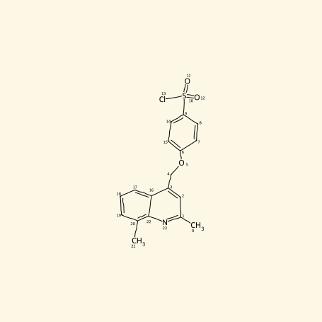 Cc1cc(COc2ccc(S(=O)(=O)Cl)cc2)c2cccc(C)c2n1